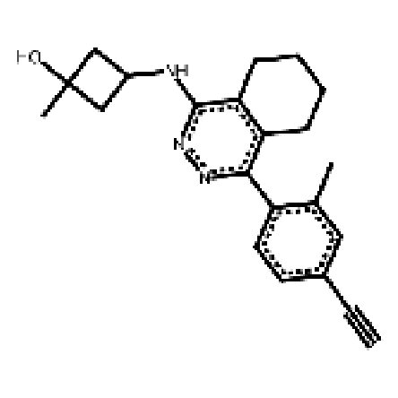 C#Cc1ccc(-c2nnc(NC3CC(C)(O)C3)c3c2CCCC3)c(C)c1